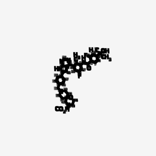 Cc1c(NC(=O)c2ccc(C(C)(C)O)cc2F)cc(F)cc1-c1ncnc2[nH]c(-c3ccc(CN4CCC5(CC4)CN(C(=O)O)CCO5)cc3)cc12